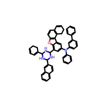 C1=CCCC(C2NC(c3ccc4ccccc4c3)NC(c3cc(N(c4ccccc4)c4cccc(-c5ccccc5)c4)cc4c3oc3ccc5c(c34)CCC=C5)N2)=C1